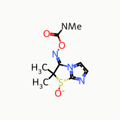 CNC(=O)ON=C1n2ccnc2[S+]([O-])C1(C)C